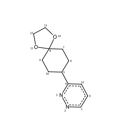 c1cnnc(C2CCC3(CC2)OCCO3)c1